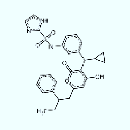 CCC(Cc1cc(O)c(C(c2cccc(NS(=O)(=O)c3ncc[nH]3)c2)C2CC2)c(=O)o1)c1ccccc1